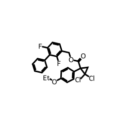 CCOc1ccc(C2(C(=O)OCc3ccc(F)c(-c4ccccc4)c3F)CC2(Cl)Cl)cc1